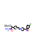 COCC(C(N)=O)C1CCC(CCN2CCC(c3noc4cc(F)ccc34)CC2)CC1